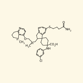 C[C@@H](COc1ccnc2c1[C@H](C)CCC2)CC1Cc2ccc(SCCCC(N)=O)cc2C12CCC(Nc1cccc(Cl)c1)(C(=O)O)CC2